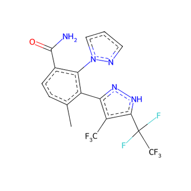 Cc1ccc(C(N)=O)c(-n2cccn2)c1-c1n[nH]c(C(F)(F)C(F)(F)F)c1C(F)(F)F